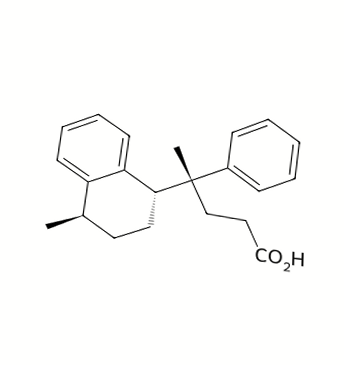 C[C@@H]1CC[C@@H]([C@@](C)(CCC(=O)O)c2ccccc2)c2ccccc21